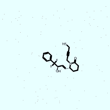 O=C1CCC[C@H](/C=C/[C@@H](O)C(F)(F)c2ccccc2)N1CC#CCS